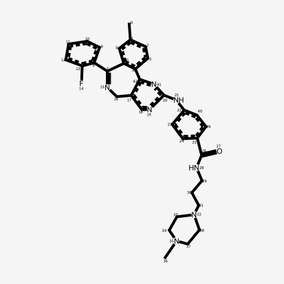 Cc1ccc2c(c1)C(c1ccccc1F)=NCc1cnc(Nc3ccc(C(=O)NCCCN4CCN(C)CC4)cc3)nc1-2